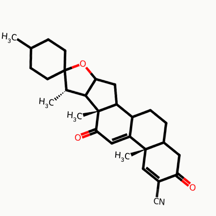 CC1CCC2(CC1)OC1CC3C4CCC5CC(=O)C(C#N)=C[C@]5(C)C4=CC(=O)[C@]3(C)C1[C@@H]2C